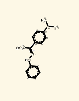 CCOC(=O)/C(=N\Nc1ccccc1)c1ccc(N(C)C)cc1